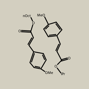 CCCCCCCCOC(=O)/C=C/c1ccc(OC)cc1.COc1ccc(/C=C/C(=O)OC(C)C)cc1